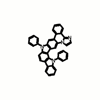 c1ccc(-n2c3cc4c5ccccc5c5nccn5c4cc3c3c2ccc2c4ccccc4n(-c4ccccc4)c23)cc1